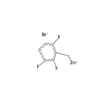 Fc1ccc(F)c([CH2][Zn+])c1F.[Br-]